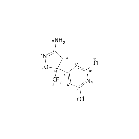 NC1=NOC(c2cc(Cl)nc(Cl)c2)(C(F)(F)F)C1